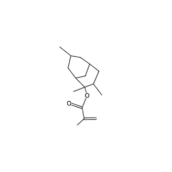 C=C(C)C(=O)OC1(C)C(C)CC2CC(C)CC1C2